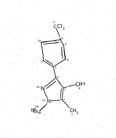 Cc1c(O)c(-c2ccc(C(Cl)(Cl)Cl)cc2)nn1C(C)(C)C